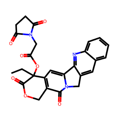 CCC1(OC(=O)CN2C(=O)CCC2=O)C(=O)OCc2c1cc1n(c2=O)Cc2cc3ccccc3nc2-1